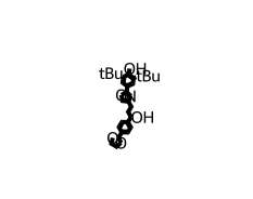 CC(C)(C)c1cc(-c2nc(CCC(O)c3ccc(C4OCCO4)cc3)co2)cc(C(C)(C)C)c1O